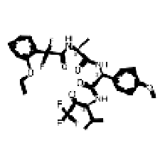 CCOc1ccccc1C(F)(F)C(=O)N[C@@H](C)C(=O)N[C@H](C(=O)N[C@H](C(=O)C(F)(F)F)C(C)C)c1ccc(OC)cc1